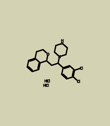 Cl.Cl.Clc1ccc(C(CC2OCCc3ccccc32)N2CCNCC2)cc1Cl